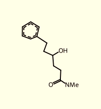 CNC(=O)CCC(O)CCc1ccccc1